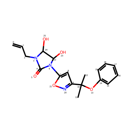 C=CCN1C(=O)N(c2cc(C(C)(C)Oc3ccccc3)no2)C(O)C1O